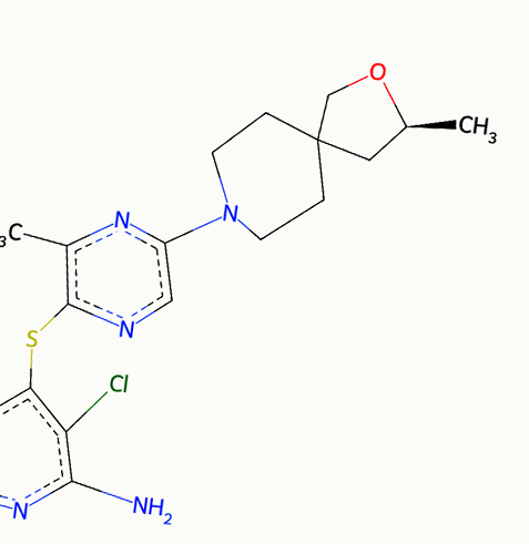 Cc1nc(N2CCC3(CC2)CO[C@@H](C)C3)cnc1Sc1ccnc(N)c1Cl